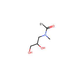 CCC(=O)N(C)CC(O)CO